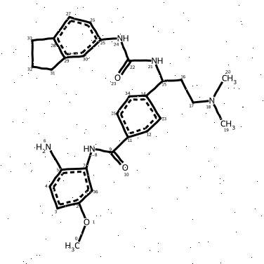 COc1ccc(N)c(NC(=O)c2ccc(C(CCN(C)C)NC(=O)Nc3ccc4c(c3)CCC4)cc2)c1